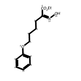 CCOC(=O)C(CCCCOc1ccccc1)=NO